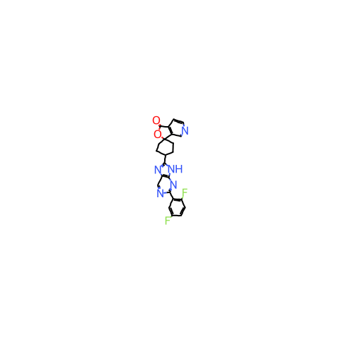 O=C1OC2(CCC(c3nc4cnc(-c5cc(F)ccc5F)nc4[nH]3)CC2)c2cnccc21